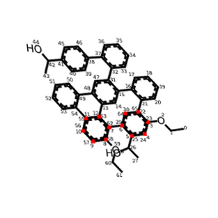 CCOc1ccc(-c2ccccc2-c2cc(-c3ccccc3-c3ccc(C(C)O)cc3)c(-c3ccccc3-c3ccc(C(C)O)cc3)cc2-c2ccccc2-c2ccc(OCC)cc2)cc1